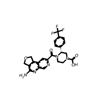 Nc1nc2cnc(C(=O)N3CCN(C(=O)O)C[C@H]3c3ccc(C(F)(F)F)cc3)cc2c2c1COC2